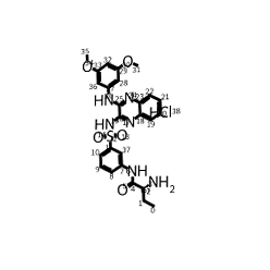 CC[C@H](N)C(=O)Nc1cccc(S(=O)(=O)Nc2nc3ccccc3nc2Nc2cc(OC)cc(OC)c2)c1.Cl